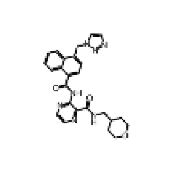 O=C(NCC1CCOCC1)c1nccnc1NC(=O)c1ccc(Cn2ccnn2)c2ccccc12